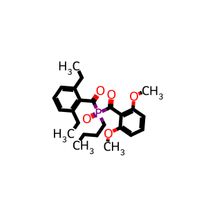 CCCCP(=O)(C(=O)c1c(CC)cccc1CC)C(=O)c1c(OC)cccc1OC